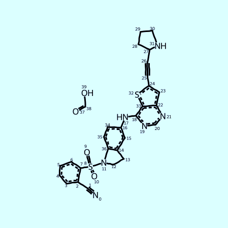 N#Cc1ccccc1S(=O)(=O)N1CCc2cc(Nc3ncnc4cc(C#CC5CCCN5)sc34)ccc21.O=CO